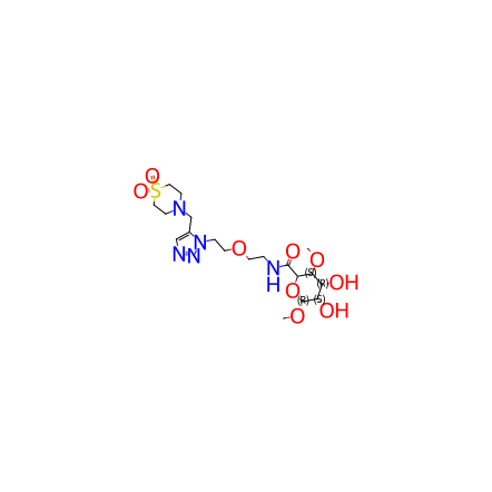 CO[C@@H]1OC(C(=O)NCCOCCn2nncc2CN2CCS(=O)(=O)CC2)[C@@H](OC)[C@H](O)[C@@H]1O